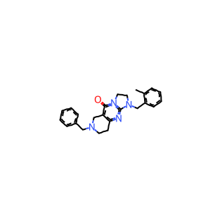 Cc1ccccc1CN1CCn2c1nc1c(c2=O)CN(Cc2ccccc2)CC1